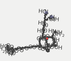 C/C(=N/O)C(C)(C)CCCC(CCNC(=O)CCCC(=O)NCCCC[C@@H]1NC(=O)CSC[C@@H](C(=O)CCCOCCOCCOCCCC(=O)COCC(=O)C[C@@H](CS(=O)(=O)O)C(=O)N[C@@H](CS(=O)(=O)O)C(N)=O)NC(=O)[C@H](Cc2ccccc2)CC(=O)[C@@H]2CSSC[C@H](NC1=O)C(=O)C[C@@H](CCCNC(=N)N)C(=O)NCC(=O)C[C@@H](CC(=O)O)C(=O)N2)CCNC(C)(C)/C(C)=N\O